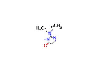 C=CCN(CC=C)c1nccc(=O)[nH]1